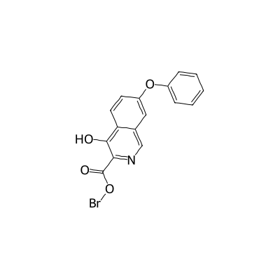 O=C(OBr)c1ncc2cc(Oc3ccccc3)ccc2c1O